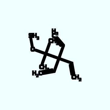 C=CC(C=C)(C=C)C(C)(C)O[SiH3]